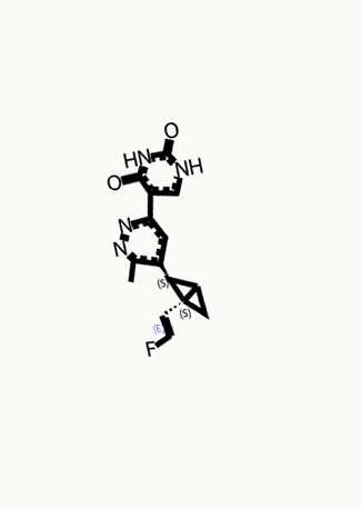 Cc1nnc(-c2c[nH]c(=O)[nH]c2=O)cc1[C@H]1C2C[C@]21/C=C/F